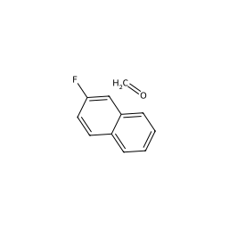 C=O.Fc1ccc2ccccc2c1